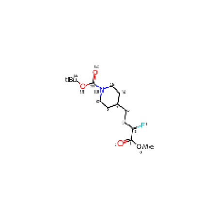 COC(=O)C(F)CCC1CCN(C(=O)OC(C)(C)C)CC1